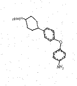 CCCCCCCC1CCC(c2ccc(Oc3ccc(N)cc3)cc2)CC1